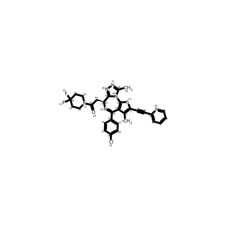 Cc1c(C#Cc2ccccn2)sc2c1C(c1ccc(Cl)cc1)=N[C@@H](CC(=O)N1CCC(F)(F)CC1)c1nnc(C)n1-2